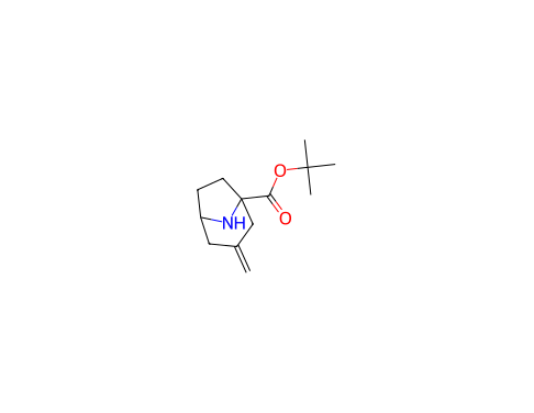 C=C1CC2CCC(C(=O)OC(C)(C)C)(C1)N2